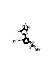 CCCNC(=S)Nc1ccc(OCCC)c(C2=NC(=O)C3=NN=NC3=N2)c1